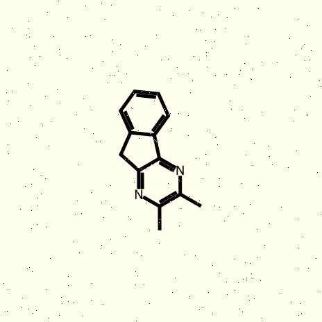 Cc1nc2c(nc1C)-c1ccccc1C2